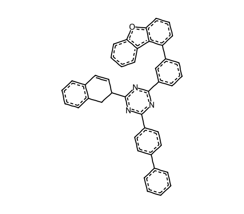 C1=CC(c2nc(-c3ccc(-c4ccccc4)cc3)nc(-c3cccc(-c4cccc5oc6ccccc6c45)c3)n2)Cc2ccccc21